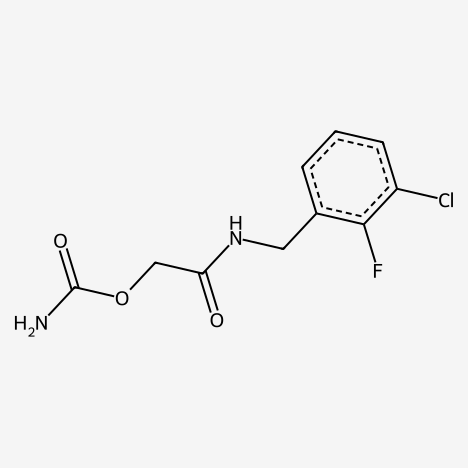 NC(=O)OCC(=O)NCc1cccc(Cl)c1F